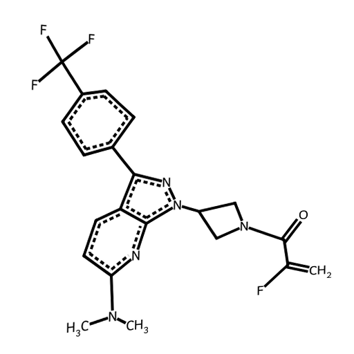 C=C(F)C(=O)N1CC(n2nc(-c3ccc(C(F)(F)F)cc3)c3ccc(N(C)C)nc32)C1